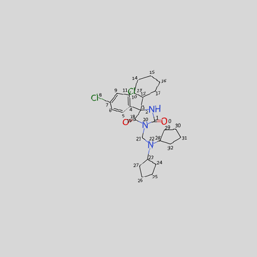 O=C1NC(c2ccc(Cl)cc2Cl)(C2CCCCC2)C(=O)N1CN(C1CCCC1)C1CCCC1